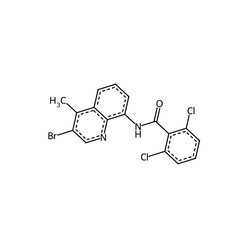 Cc1c(Br)cnc2c(NC(=O)c3c(Cl)cccc3Cl)cccc12